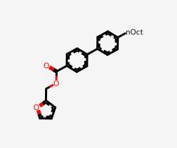 CCCCCCCCc1ccc(-c2ccc(C(=O)OCc3ccco3)cc2)cc1